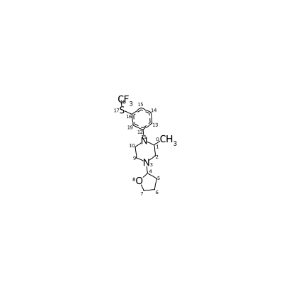 CC1CN(C2CCCO2)CCN1c1cccc(SC(F)(F)F)c1